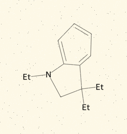 CCN1CC(CC)(CC)c2ccccc21